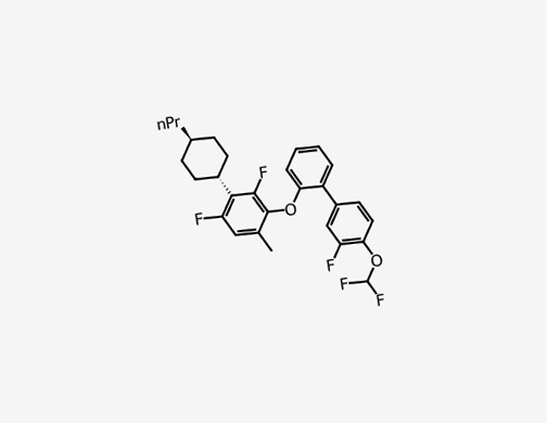 CCC[C@H]1CC[C@H](c2c(F)cc(C)c(Oc3ccccc3-c3ccc(OC(F)F)c(F)c3)c2F)CC1